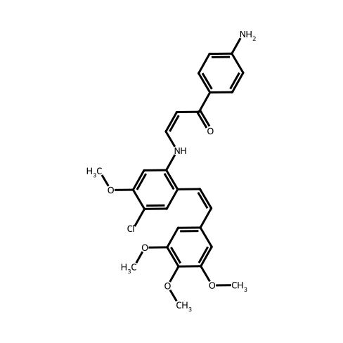 COc1cc(N/C=C\C(=O)c2ccc(N)cc2)c(/C=C\c2cc(OC)c(OC)c(OC)c2)cc1Cl